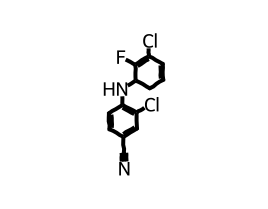 N#Cc1ccc(NC2CC=CC(Cl)=C2F)c(Cl)c1